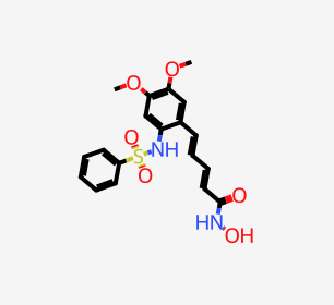 COc1cc(/C=C/C=C/C(=O)NO)c(NS(=O)(=O)c2ccccc2)cc1OC